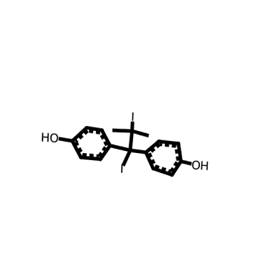 CC(C)(I)C(I)(c1ccc(O)cc1)c1ccc(O)cc1